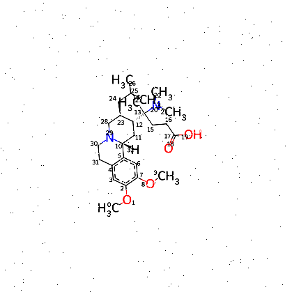 COc1cc2c(cc1OC)[C@H]1C[C@@H](C(C)(CCC(=O)O)N(C)C)[C@H](CC(C)C)CN1CC2